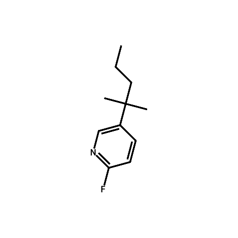 CCCC(C)(C)c1ccc(F)nc1